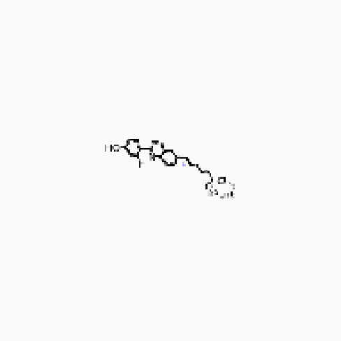 CCCCCOC(C)CCC/C=C/c1ccc2nc(-c3ccc(O)cc3F)ccc2c1